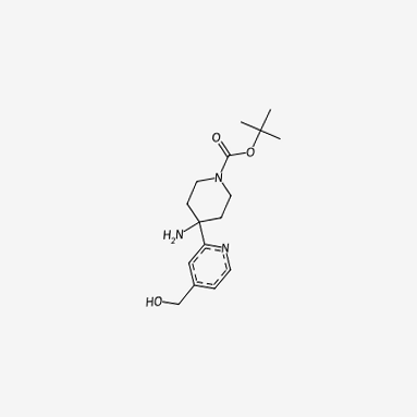 CC(C)(C)OC(=O)N1CCC(N)(c2cc(CO)ccn2)CC1